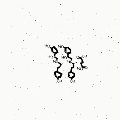 C[C@H](CCc1ccc(O)cc1)NC[C@H](O)c1cccc(O)c1.C[C@H](CCc1ccc(O)cc1)NC[C@H](O)c1cccc(O)c1.O=C(O)/C=C/C(=O)O